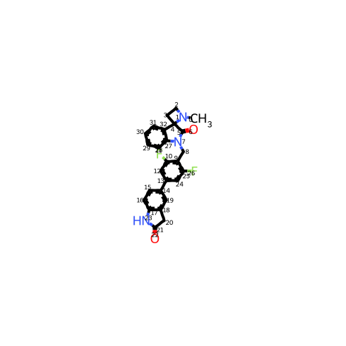 CN1CCC12C(=O)N(Cc1c(F)cc(-c3ccc4c(c3)CC(=O)N4)cc1F)c1ccccc12